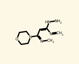 C=N/C(=C\C(=N/C)N1CCOCC1)NN